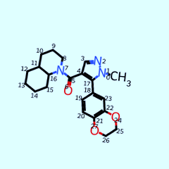 Cn1ncc(C(=O)N2CCCC3CCCCC32)c1-c1ccc2c(c1)OCCO2